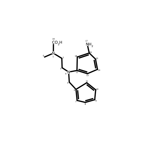 CN(CCN(Cc1ccccc1)c1cccc(N)c1)C(=O)O